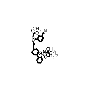 COC(=O)CN(CCCc1ccc(-c2ccccc2S(=O)(=O)NC(C)(C)C)cc1)c1cccc(C#N)c1